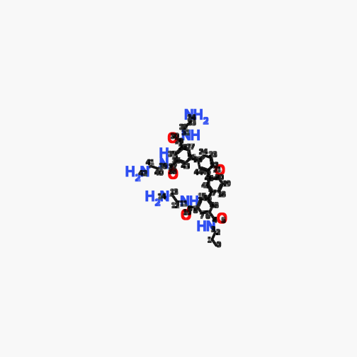 CCCNC(=O)c1cc(C(=O)NCCN)cc(-c2ccc3oc4ccc(-c5cc(C(=O)NCCN)cc(C(=O)NCCN)c5)cc4c3c2)c1